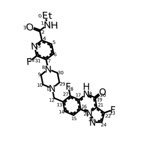 CCNC(=O)c1ccc(N2CCN(Cc3ccc4c([nH]c(=O)c5c(F)cnn54)c3F)CC2)c(F)n1